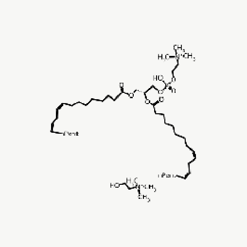 CCCCC/C=C\C/C=C\CCCCCCCC(=O)OC[C@H](COP(=O)(O)OCC[N+](C)(C)C)OC(=O)CCCCCCC/C=C\C/C=C\CCCCC.C[N+](C)(C)CCO